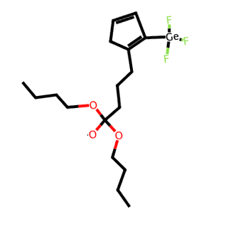 CCCCOC([O])(CCCC1=[C]([Ge]([F])([F])[F])C=CC1)OCCCC